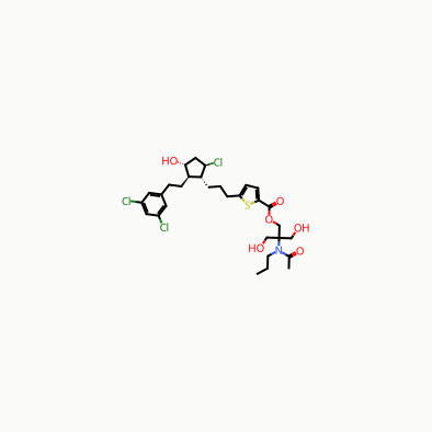 CCCN(C(C)=O)C(CO)(CO)COC(=O)c1ccc(CCC[C@@H]2[C@@H](CCc3cc(Cl)cc(Cl)c3)[C@H](O)C[C@H]2Cl)s1